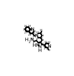 Cc1cc(C2NNC(CCN)=C2CC2CC(C)CN(Cc3cnc4ccccc4c3)C2)ccn1